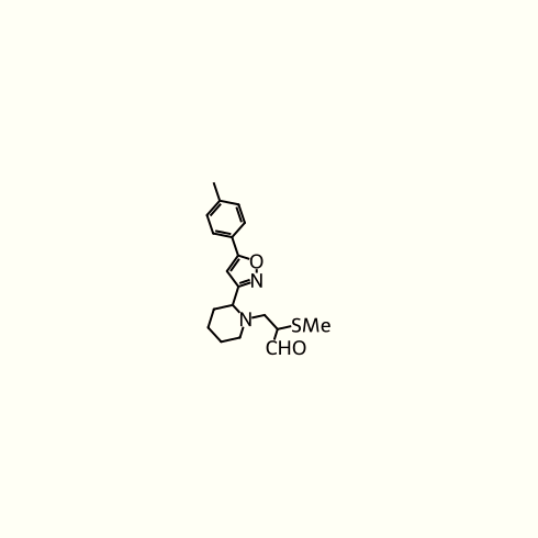 CSC(C=O)CN1CCCCC1c1cc(-c2ccc(C)cc2)on1